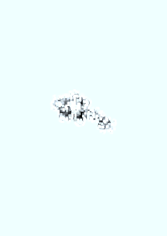 CC1(C)OB(c2ccc(C[C@H](CC(=O)N3CCCC(c4cc5cccc(F)c5n4C[C@H](O)CO)C3)NC(=O)O)cc2)OC1(C)C